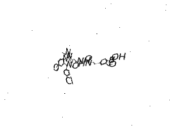 COc1ccc2c(c1)C(c1ccc(Cl)cc1)=N[C@@H](CC(=O)NCC(=O)NCCc1ccc3c(c1)COB3O)c1nnc(C)n1-2